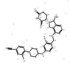 N#Cc1ccc(N2CCC(Sc3ccc(COc4cccc5c4CN([C@H]4CCC(=O)NC4=O)C5O)c(F)c3)CC2)c(F)c1